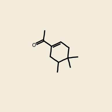 CC(=O)C1=CCC(C)(C)C(C)C1